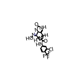 O=C(Nc1ccc(C(F)(F)F)c(Cl)c1)N1[C@@H]2CC[C@H]1c1c[nH]c(=O)nc1/C2=N/O